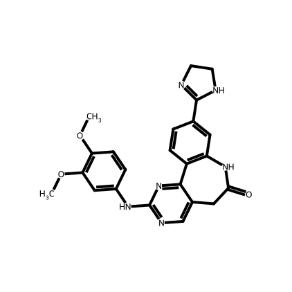 COc1ccc(Nc2ncc3c(n2)-c2ccc(C4=NCCN4)cc2NC(=O)C3)cc1OC